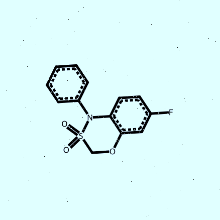 O=S1(=O)COc2cc(F)ccc2N1c1ccccc1